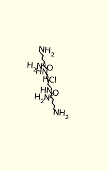 Cl.NCCCC[C@H](N)C(=O)NCCCCCNC(=O)[C@@H](N)CCCCN